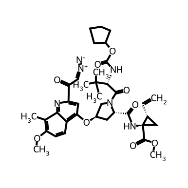 C=C[C@@H]1C[C@]1(NC(=O)[C@@H]1C[C@@H](Oc2cc(C(=O)C=[N+]=[N-])nc3c(C)c(OC)ccc23)CN1C(=O)[C@@H](NC(=O)OC1CCCC1)C(C)(C)C)C(=O)OC